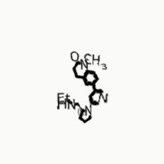 CCNC[C@@H]1CCCN1c1cncc(-c2ccc3c(c2)CCC(=O)N3C)c1